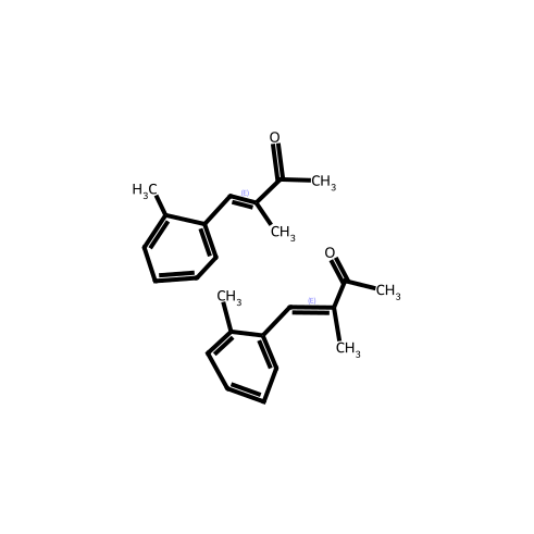 CC(=O)/C(C)=C/c1ccccc1C.CC(=O)/C(C)=C/c1ccccc1C